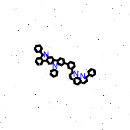 c1ccc(-c2ccc3ccc4ccc(-c5cccc(-c6ccc7c8cc9nc(-c%10ccccc%10)c%10ccccc%10c9cc8n(-c8ccccc8)c7c6)c5)nc4c3n2)cc1